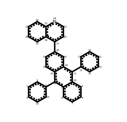 c1ccc(-c2c3ccccc3c(-c3ccccc3)c3cc(-c4ccnc5ccccc45)ccc23)cc1